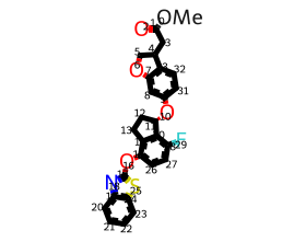 COC(=O)CC1COc2cc(O[C@@H]3CCc4c(Oc5nc6ccccc6s5)ccc(F)c43)ccc21